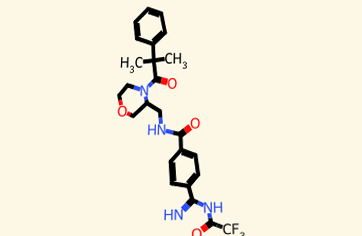 CC(C)(C(=O)N1CCOCC1CNC(=O)c1ccc(C(=N)NC(=O)C(F)(F)F)cc1)c1ccccc1